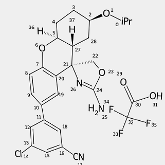 CC(C)O[C@@H]1CC[C@@H]2Oc3ccc(-c4cc(Cl)cc(C#N)c4)cc3[C@@]3(COC(N)=N3)[C@H]2C1.O=C(O)C(F)(F)F